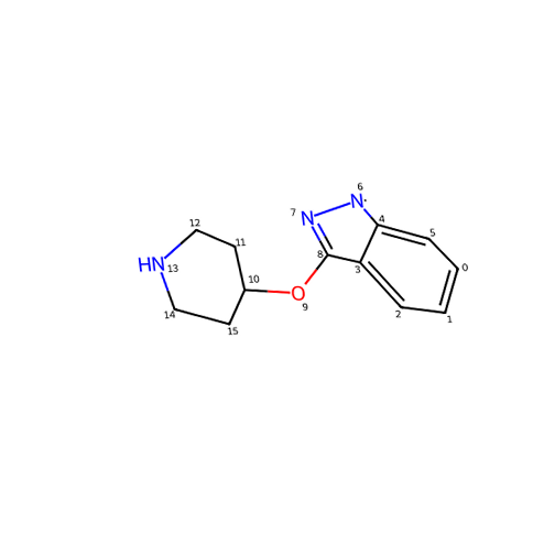 c1ccc2c(c1)[N]N=C2OC1CCNCC1